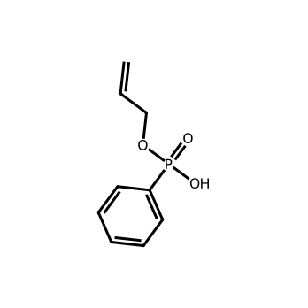 C=CCOP(=O)(O)c1ccccc1